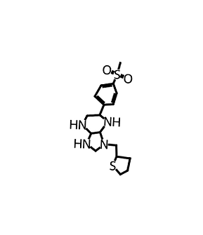 CS(=O)(=O)c1ccc(C2CNC3NCN(CC4CCCS4)C3N2)cc1